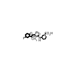 Cc1c([C@@H](NC(=O)NC2CCCN(C(=O)O)C2)C(C)C)oc2ccc(F)cc12